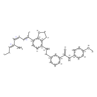 CC/C=C(N)/N=C\C=C(/C)c1cnc(NCc2cccc(C(=O)Nc3ccc(OC)cn3)c2)c2c1OCC2